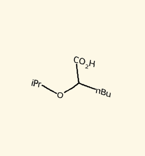 CCCCC(OC(C)C)C(=O)O